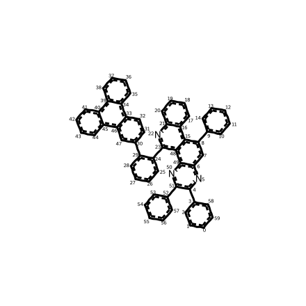 c1ccc(-c2nc3cc(-c4ccccc4)c4c5ccccc5nc(-c5ccccc5-c5ccc6c7ccccc7c7ccccc7c6c5)c4c3nc2-c2ccccc2)cc1